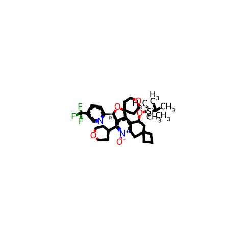 CC(C)(C)[Si](C)(C)OC1CC2(CCC2)Cc2c1c1c(c(C3CCOCC3)[n+]2[O-])[C@@H](c2ccc(C(F)(F)F)cn2)OC12CCOCC2